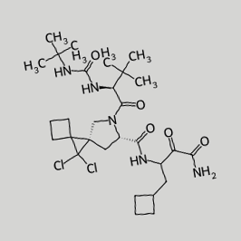 CC(C)(C)NC(=O)N[C@H](C(=O)N1C[C@]2(C[C@H]1C(=O)NC(CC1CCC1)C(=O)C(N)=O)C(Cl)(Cl)C21CCC1)C(C)(C)C